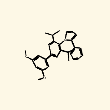 COc1cc(OC)cc(-c2cc(C(C)C)c(-n3cccc3-c3ccccc3)c(C(C)C)c2)c1